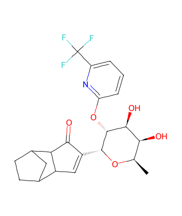 C[C@H]1O[C@H](C2=CC3C4CCC(C4)C3C2=O)[C@H](Oc2cccc(C(F)(F)F)n2)[C@@H](O)[C@H]1O